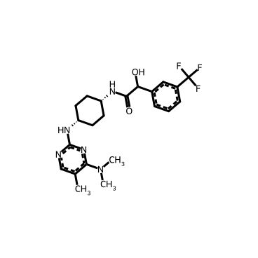 Cc1cnc(N[C@H]2CC[C@@H](NC(=O)C(O)c3cccc(C(F)(F)F)c3)CC2)nc1N(C)C